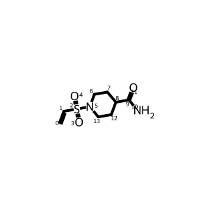 C=CS(=O)(=O)N1CCC(C(N)=O)CC1